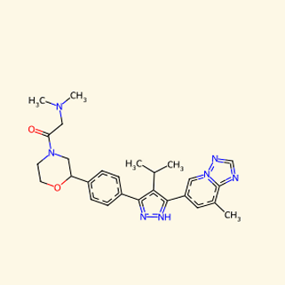 Cc1cc(-c2[nH]nc(-c3ccc(C4CN(C(=O)CN(C)C)CCO4)cc3)c2C(C)C)cn2ncnc12